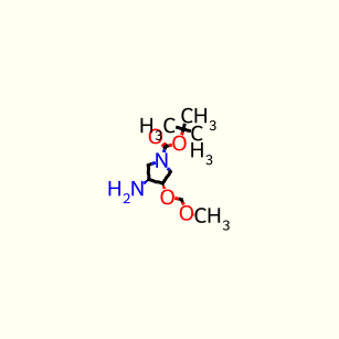 COCO[C@@H]1CN(C(=O)OC(C)(C)C)C[C@@H]1N